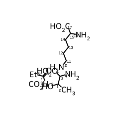 CC(O)C(N)C(=O)O.CCC(=O)C(=O)O.NCCCCC(N)C(=O)O